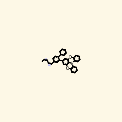 C/C=C\C=C/c1ccc(-c2ccccc2)c(-c2cc3c4c(c2)Oc2ccccc2B4c2ccccc2O3)c1